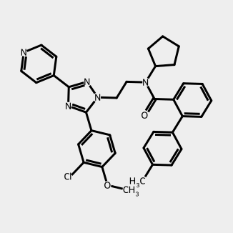 COc1ccc(-c2nc(-c3ccncc3)nn2CCN(C(=O)c2ccccc2-c2ccc(C)cc2)C2CCCC2)cc1Cl